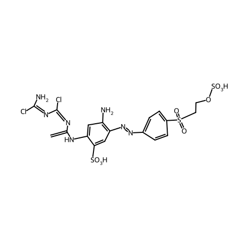 C=C(/N=C(Cl)\N=C(/N)Cl)Nc1cc(N)c(/N=N/c2ccc(S(=O)(=O)CCOS(=O)(=O)O)cc2)cc1S(=O)(=O)O